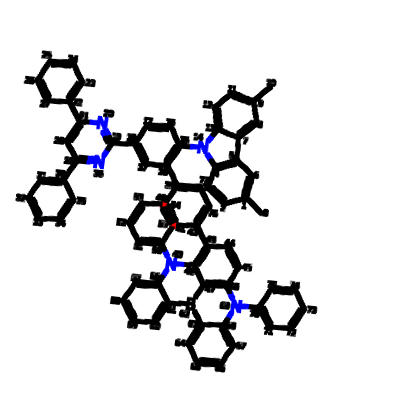 Cc1ccc2c(c1)c1cc(C)ccc1n2-c1ccc(-c2nc(-c3ccccc3)cc(-c3ccccc3)n2)cc1-c1ccc(-c2ccc3c4c2N(c2ccccc2)c2ccccc2B4c2ccccc2N3c2ccccc2)cc1